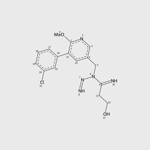 COc1ncc(CN(N=N)C(=N)CCO)cc1-c1cccc(Cl)c1